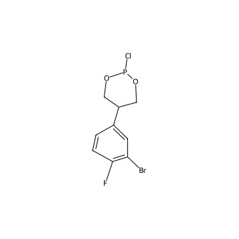 Fc1ccc(C2COP(Cl)OC2)cc1Br